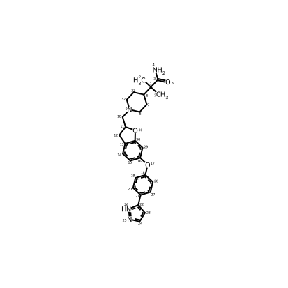 CC(C)(C(N)=O)C1CCN(CC2Cc3ccc(Oc4ccc(-c5ccn[nH]5)cc4)cc3O2)CC1